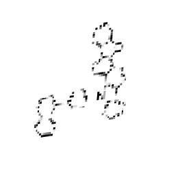 c1ccc2c(-c3ccc(-n4c5ccccc5c5ccc6c(ccc7c8ccccc8oc76)c54)cc3)cccc2c1